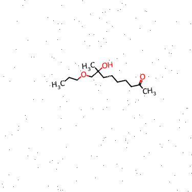 CCCOCC(C)(O)CCCCCC(C)=O